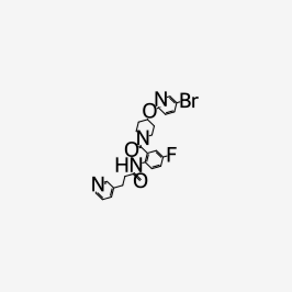 O=C(CCc1cccnc1)Nc1ccc(F)cc1C(=O)N1CCC(Oc2ccc(Br)cn2)CC1